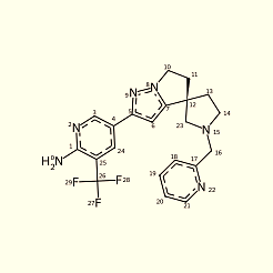 Nc1ncc(-c2cc3n(n2)CC[C@]32CCN(Cc3ccccn3)C2)cc1C(F)(F)F